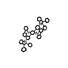 c1ccc(-c2c(-c3ccccc3)n(-c3ccc(-c4cc(-n5c6ccccc6c6ccccc65)c(-c5ccc(-n6c(-c7ccccc7)c(-c7ccccc7)c7ccccc76)cc5)cc4-n4c5ccccc5c5ccccc54)cc3)c3ccccc23)cc1